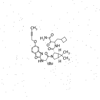 CC#CCOc1ccc2oc(N[C@H](C(=O)N3C[C@H]4[C@@H]([C@H]3C(=O)NC(CC3CCC3)C(=O)C(N)=O)C4(C)C)C(C)(C)C)nc2c1